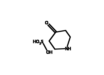 O=C1CCNCC1.O=S(=O)(O)O